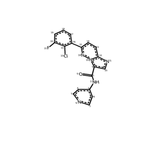 O=C(Nc1ccncc1)c1cnc2ccc(-c3cccc(F)c3Cl)nn12